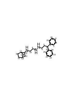 c1ccc(C(CCNNCCNC2CC3CCC2C3)c2ccccc2)cc1